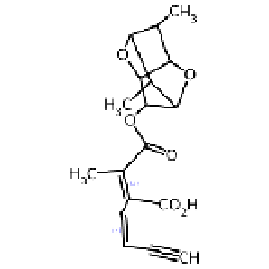 C#C/C=C\C(C(=O)O)=C(/C)C(=O)OC1C2OC3C(C)C(OC31)C2C